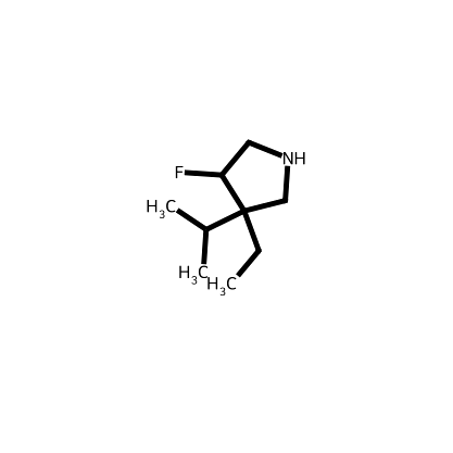 CCC1(C(C)C)CNCC1F